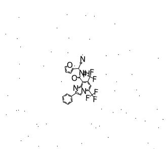 N#CC(NC(=O)c1c(C(F)(F)F)cc(C(F)(F)F)n2cc(-c3ccccc3)nc12)c1ccco1